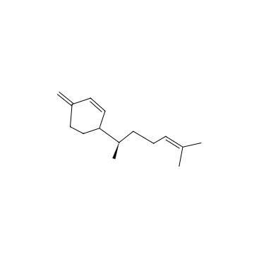 C=C1C=CC([C@H](C)CCC=C(C)C)CC1